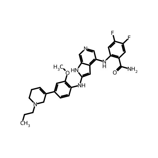 CCCN1CCC=C(c2ccc(Nc3cc4c(Nc5cc(F)c(F)cc5C(N)=O)cncc4[nH]3)c(OC)c2)C1